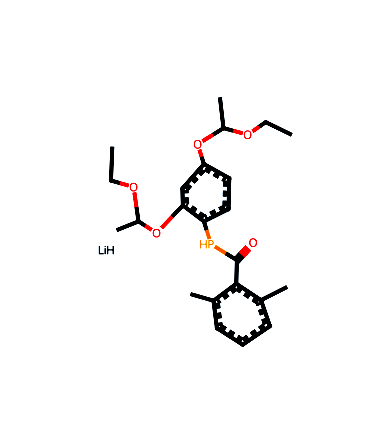 CCOC(C)Oc1ccc(PC(=O)c2c(C)cccc2C)c(OC(C)OCC)c1.[LiH]